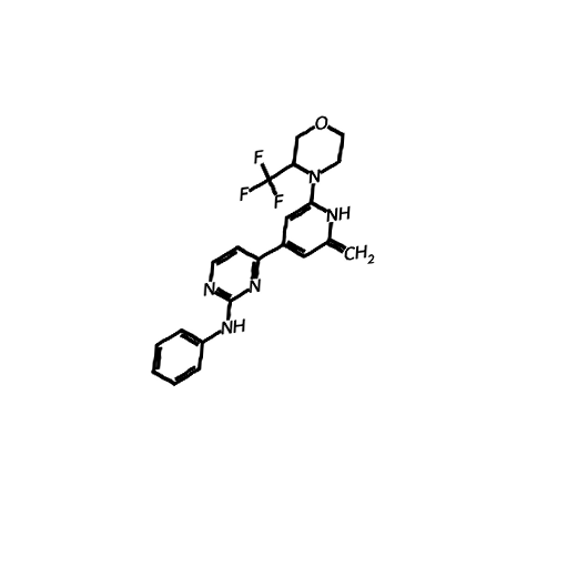 C=C1C=C(c2ccnc(Nc3ccccc3)n2)C=C(N2CCOCC2C(F)(F)F)N1